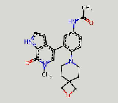 CC(=O)Nc1ccc(N2CCC3(CC2)COC3)c(-c2cn(C)c(=O)c3[nH]ccc23)c1